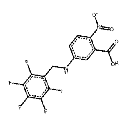 O=C(O)c1cc(NCc2c(F)c(F)c(F)c(F)c2F)ccc1[N+](=O)[O-]